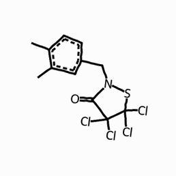 Cc1ccc(CN2SC(Cl)(Cl)C(Cl)(Cl)C2=O)cc1C